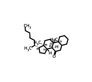 CCCCCC(C)[C@H]1CC[C@H]2[C@@H]3C(=O)CC4CCCC[C@]4(C)[C@H]3CC[C@]12C